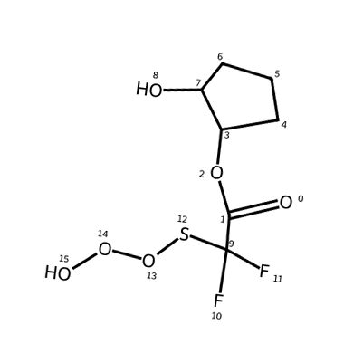 O=C(OC1CCCC1O)C(F)(F)SOOO